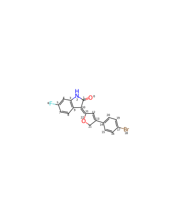 O=C1Nc2cc(F)ccc2/C1=C1/C=C(c2ccc(Br)cc2)CO1